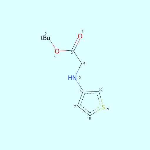 CC(C)(C)OC(=O)CNc1ccsc1